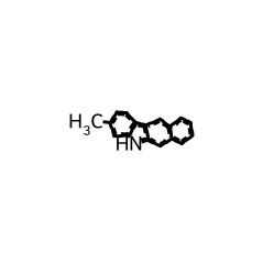 Cc1ccc2c(c1)[nH]c1cc3ccccc3cc12